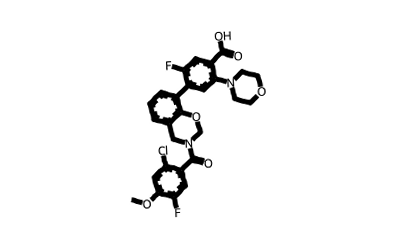 COc1cc(Cl)c(C(=O)N2COc3c(cccc3-c3cc(N4CCOCC4)c(C(=O)O)cc3F)C2)cc1F